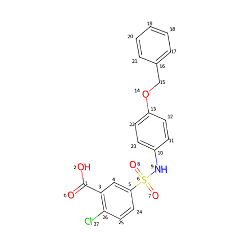 O=C(O)c1cc(S(=O)(=O)Nc2ccc(OCc3ccccc3)cc2)ccc1Cl